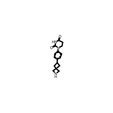 O=C1CCN(c2ccc(C3CC4(CNC4)C3)cc2)C(=O)N1